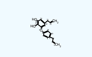 C=CCc1ccc(Oc2cc(CC=C)cc(O)c2O)cc1